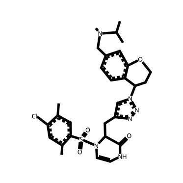 Cc1cc(S(=O)(=O)N2C=CNC(=O)C2Cc2cn(C3CCOc4cc(CN(C)C(C)C)ccc43)nn2)c(C)cc1Cl